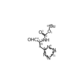 CC(C)(C)OC(=O)N[C@H](C=O)Cc1nncnn1